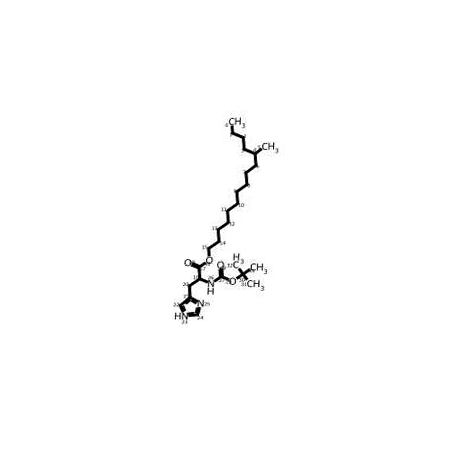 CCCCC(C)CCCCCCCCCCOC(=O)C(Cc1c[nH]cn1)NC(=O)OC(C)(C)C